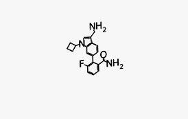 NCc1cn(C2CCC2)c2cc(-c3c(F)cccc3C(N)=O)ccc12